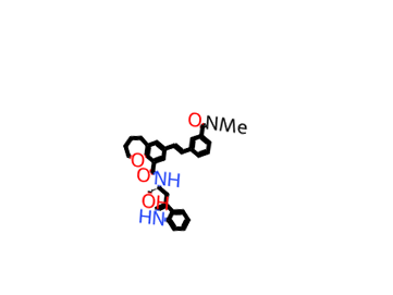 CNC(=O)c1cccc(C=Cc2cc3c(c(C(=O)N[C@@H](CO)Cc4c[nH]c5ccccc45)c2)OCCCC3)c1